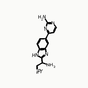 CC(C)CC(N)c1nc2cc(-c3ccnc(N)n3)ccc2[nH]1